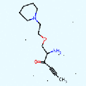 CC#CC(=O)C(N)COCCN1CCCCC1